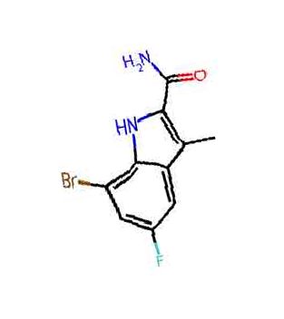 Cc1c(C(N)=O)[nH]c2c(Br)cc(F)cc12